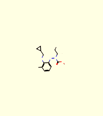 C[C@@H](CC=O)N(Nc1cccc(C(F)(F)F)c1NCC1CC1)C(=O)OC(C)(C)C